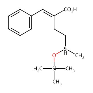 C[SiH](CCC(=Cc1ccccc1)C(=O)O)O[Si](C)(C)C